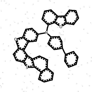 c1ccc(-c2ccc(N(c3ccc4oc5ccc6sc7c8ccccc8ccc7c6c5c4c3)c3cccc4c3oc3ccccc34)cc2)cc1